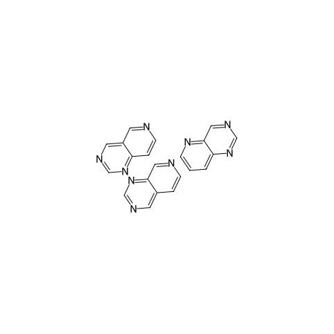 c1cc2cncnc2cn1.c1cc2ncncc2cn1.c1cnc2cncnc2c1